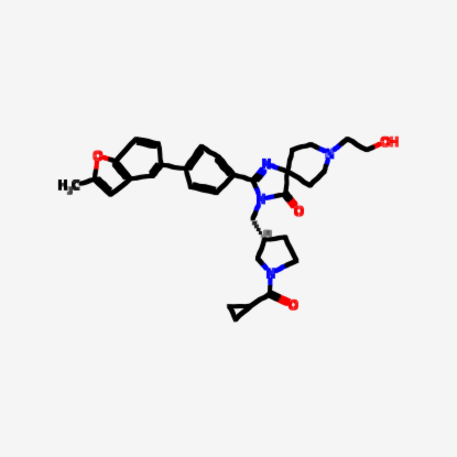 Cc1cc2cc(-c3ccc(C4=NC5(CCN(CCO)CC5)C(=O)N4C[C@@H]4CCN(C(=O)C5CC5)C4)cc3)ccc2o1